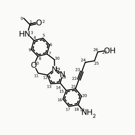 CC(=O)Nc1ccc2c(c1)OCc1cc(-c3ccc(N)cc3C#CCCCO)nn1C2